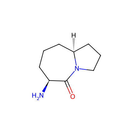 N[C@H]1CCC[C@H]2CCCN2C1=O